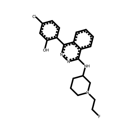 Oc1cc(Cl)ccc1-c1nnc(NC2CCCN(CCF)C2)c2ccccc12